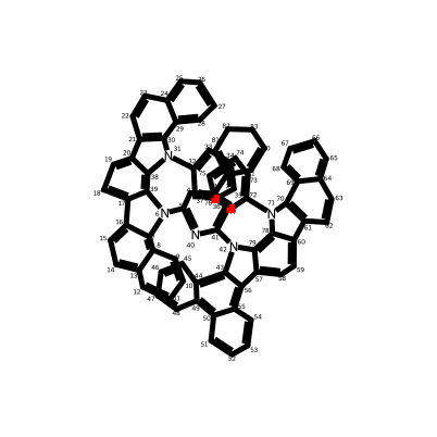 C1=CC(c2cc(-n3c4c5ccccc5ccc4c4ccc5c6ccc7ccccc7c6n(-c6ccccc6)c5c43)nc(-n3c4c5ccccc5c5ccccc5c4c4ccc5c6ccc7ccccc7c6n(-c6ccccc6)c5c43)c2)=CCC1